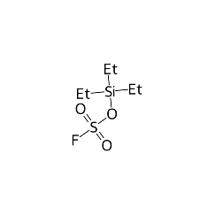 CC[Si](CC)(CC)OS(=O)(=O)F